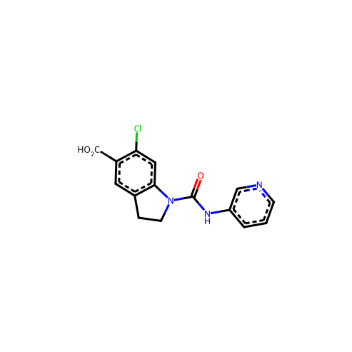 O=C(O)c1cc2c(cc1Cl)N(C(=O)Nc1cccnc1)CC2